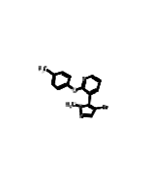 Cn1ncc(Br)c1-c1cccnc1Oc1ccc(C(F)(F)F)cc1